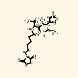 CC(C)[C@H](NC(=O)CCCCCN1C(=O)CCC1=O)C(=O)N(C)[C@H](c1c[nH]nn1)C(C)C